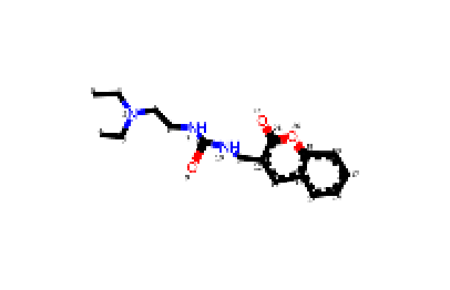 CCN(CC)CCNC(=O)NCc1cc2ccccc2oc1=O